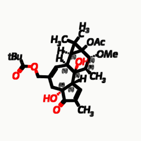 CO[C@@H]1[C@@H](C)[C@@]2(O)[C@@H](C=C(COC(=O)C(C)(C)C)C[C@]3(O)C(=O)C(C)=C[C@@H]23)[C@H]2C(C)(C)C12OC(C)=O